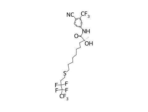 C[C@](O)(CCCCCCCCSCCC(F)(F)C(F)(F)C(F)(F)F)C(=O)Nc1ccc(C#N)c(C(F)(F)F)c1